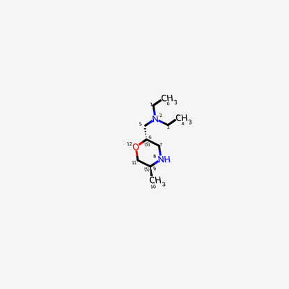 CCN(CC)C[C@@H]1CN[C@@H](C)CO1